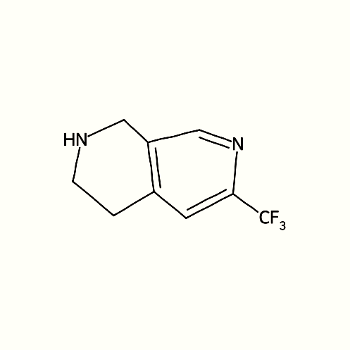 FC(F)(F)c1cc2c(cn1)CNCC2